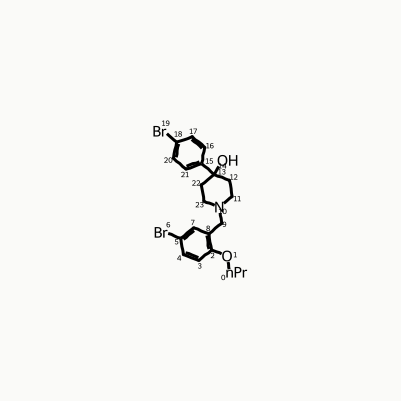 CCCOc1ccc(Br)cc1CN1CCC(O)(c2ccc(Br)cc2)CC1